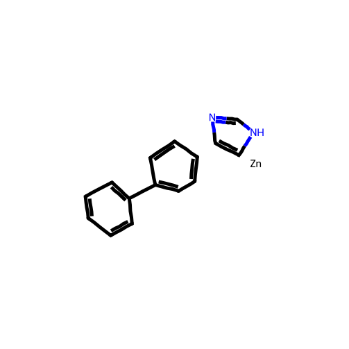 [Zn].c1c[nH]cn1.c1ccc(-c2ccccc2)cc1